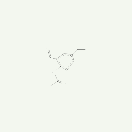 CCc1ccc(OC(C)=O)c(C=O)c1